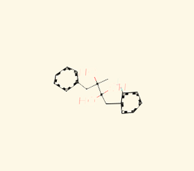 CC(O)(Cc1ccccc1)C(O)(O)Cc1ccccc1F